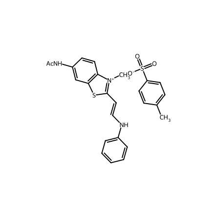 CC(=O)Nc1ccc2c(c1)sc(C=CNc1ccccc1)[n+]2C.Cc1ccc(S(=O)(=O)[O-])cc1